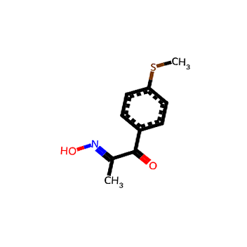 CSc1ccc(C(=O)C(C)=NO)cc1